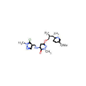 COc1ccc([C@@H](C)C(C)COc2cc(NCc3cnn(C)c3Cl)c(=O)n(C)n2)nc1